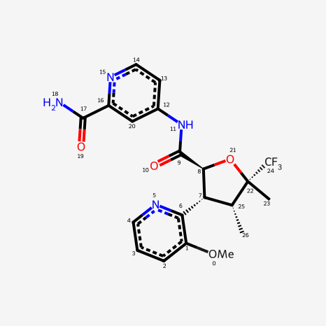 COc1cccnc1[C@@H]1[C@@H](C(=O)Nc2ccnc(C(N)=O)c2)O[C@](C)(C(F)(F)F)[C@@H]1C